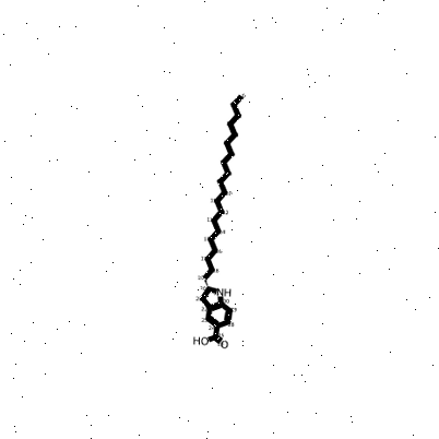 CCCCCCCCCCCCCCCCCCCC[C@H]1Cc2cc(C(=O)O)ccc2N1